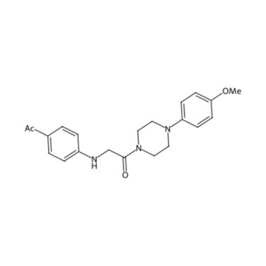 COc1ccc(N2CCN(C(=O)CNc3ccc(C(C)=O)cc3)CC2)cc1